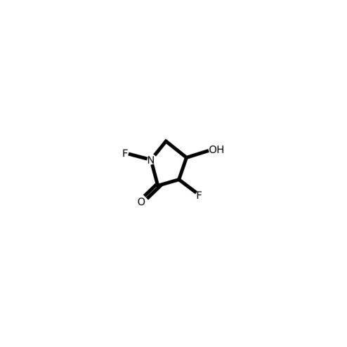 O=C1C(F)C(O)CN1F